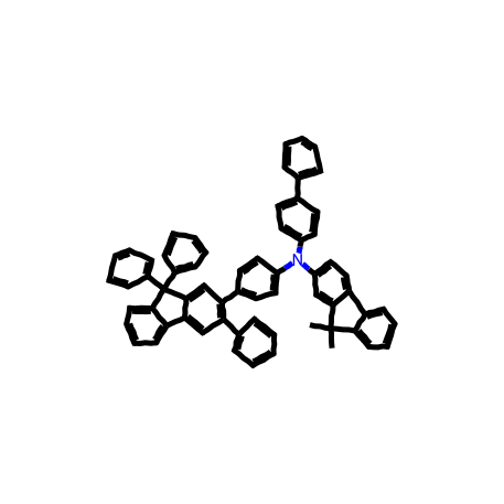 CC1(C)c2ccccc2-c2ccc(N(c3ccc(-c4ccccc4)cc3)c3ccc(-c4cc5c(cc4-c4ccccc4)-c4ccccc4C5(c4ccccc4)c4ccccc4)cc3)cc21